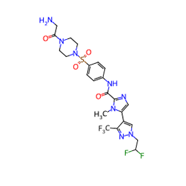 Cn1c(-c2cn(CC(F)F)nc2C(F)(F)F)cnc1C(=O)Nc1ccc(S(=O)(=O)N2CCN(C(=O)CN)CC2)cc1